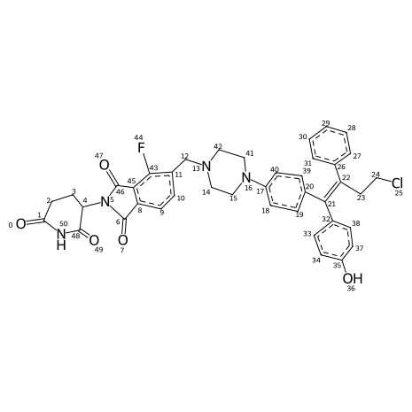 O=C1CCC(N2C(=O)c3ccc(CN4CCN(c5ccc(C(=C(CCCl)c6ccccc6)c6ccc(O)cc6)cc5)CC4)c(F)c3C2=O)C(=O)N1